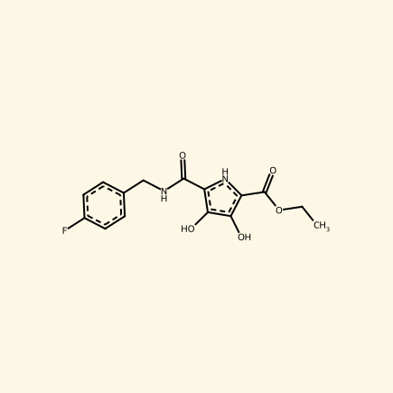 CCOC(=O)c1[nH]c(C(=O)NCc2ccc(F)cc2)c(O)c1O